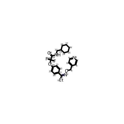 CC/C(=N/OCc1ccncc1)c1ccc(OC(F)(F)C(=O)NCC2CCCCC2)cc1